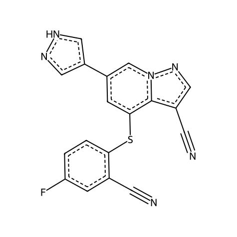 N#Cc1cc(F)ccc1Sc1cc(-c2cn[nH]c2)cn2ncc(C#N)c12